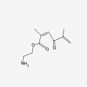 C=C(C)C(=O)C=C(C)C(=O)OCCN